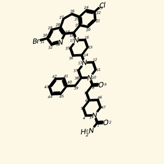 NC(=O)N1CCC(CC(=O)N2CCN(C3CCN(C4c5ccc(Cl)cc5CCc5cc(Br)cnc54)CC3)CC2Cc2ccccc2)CC1